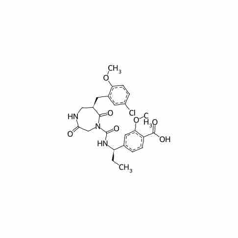 CC[C@@H](NC(=O)N1CC(=O)NC[C@@H](Cc2cc(Cl)ccc2OC)C1=O)c1ccc(C(=O)O)c(OC)c1